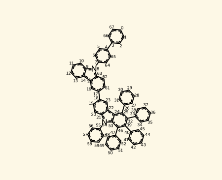 c1ccc(-c2ccc(-n3c4ccccc4c4cc(-c5ccc6c(c5)c5c(-c7ccccc7)c(-c7ccccc7)c(-c7ccccc7)c(-c7ccccc7)c5n6-c5ccccc5)ccc43)cc2)cc1